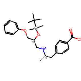 C[C@@H](Cc1ccc(C(=O)O)cc1)NC[C@@H](COc1ccccc1)O[Si](C)(C)C(C)(C)C